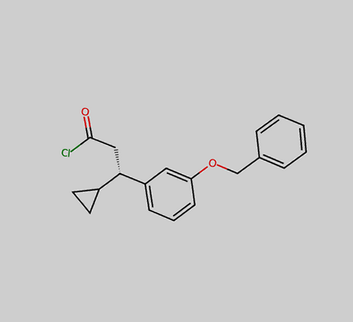 O=C(Cl)C[C@H](c1cccc(OCc2ccccc2)c1)C1CC1